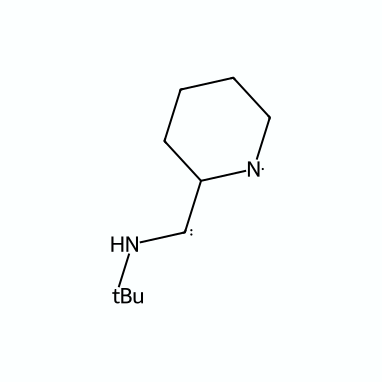 CC(C)(C)N[C]C1CCCC[N]1